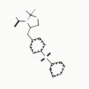 CC1(C)OCC(Cc2ccc(S(=O)(=O)c3ccccc3)cc2)N1C(=O)O